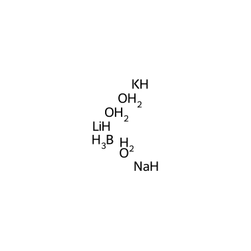 B.O.O.O.[KH].[LiH].[NaH]